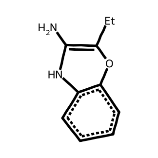 CCC1=C(N)Nc2ccccc2O1